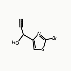 C#CC(O)c1csc(Br)n1